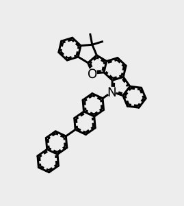 CC1(C)c2ccccc2-c2oc3c(ccc4c5ccccc5n(-c5ccc6cc(-c7ccc8ccccc8c7)ccc6c5)c43)c21